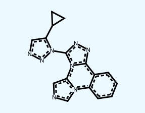 c1ccc2c(c1)c1nnc(-n3nncc3C3CC3)n1c1cncn21